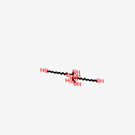 OCCCCCCCCCCCCOC[C@H](O[C@@H](COCCCCCCCCCCCCO)[C@H](O)CO)[C@H](O)CO